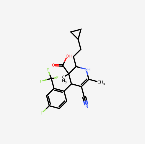 CC1=C(C#N)C(c2ccc(F)cc2C(F)(F)F)C(C)(C(=O)O)C(CCC2CC2)N1